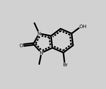 Cn1c(=O)n(C)c2c(Br)cc(O)cc21